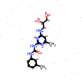 Cc1cccc(NC(=O)Nc2nc(C)cc(NCC(O)CO)n2)c1